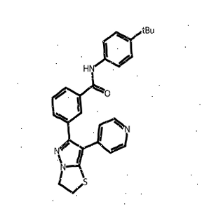 CC(C)(C)c1ccc(NC(=O)c2cccc(-c3nn4c(c3-c3ccncc3)SCC4)c2)cc1